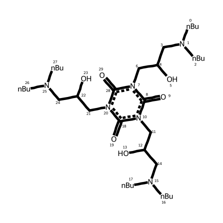 CCCCN(CCCC)CC(O)Cn1c(=O)n(CC(O)CN(CCCC)CCCC)c(=O)n(CC(O)CN(CCCC)CCCC)c1=O